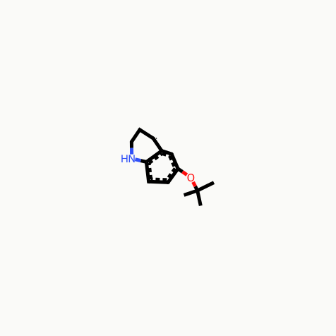 CC(C)(C)Oc1ccc2c(c1)[CH]CCN2